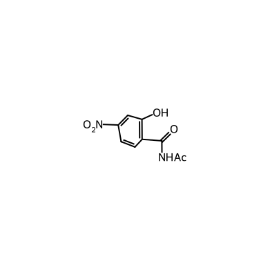 CC(=O)NC(=O)c1ccc([N+](=O)[O-])cc1O